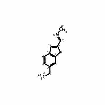 CCc1ccc2c(c1)CC(/C=N/C)=C2